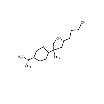 CCCCCCC(C)(CC)C1CCC(N(C)C)CC1